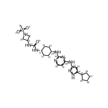 CS(=O)(=O)N1CC(NC(=O)N[C@H]2CC[C@H](Nc3nccc(Nc4cc(C5CCCC5)[nH]n4)n3)CC2)C1